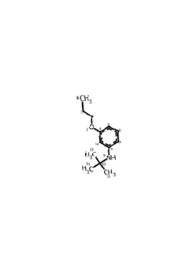 CCCOc1cccc(NC(C)(C)C)c1